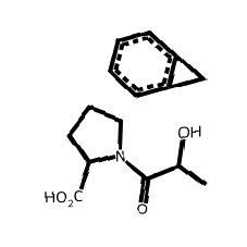 CC(O)C(=O)N1CCCC1C(=O)O.c1ccc2c(c1)C2